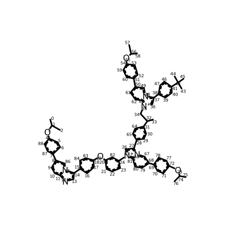 CC(C)Oc1ccc(-c2ccc3ncc(-c4ccc(Oc5cccc(-[n+]6cc(-c7ccc(C(C)C[n+]8cc(-c9ccc(C(C)(C)C)cc9)n9cc(-c%10ccc(OC(C)C)cc%10)ccc98)cc7)n7cc(-c8ccc(OC(C)C)cc8)ccc76)c5)cc4)n3c2)cc1